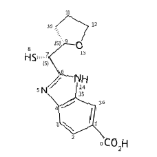 O=C(O)c1ccc2nc([C@H](S)[C@@H]3CCCO3)[nH]c2c1